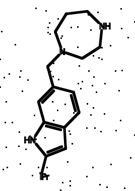 CC(C)c1cc2ccc(CN3CCCNCC3)cc2[nH]1